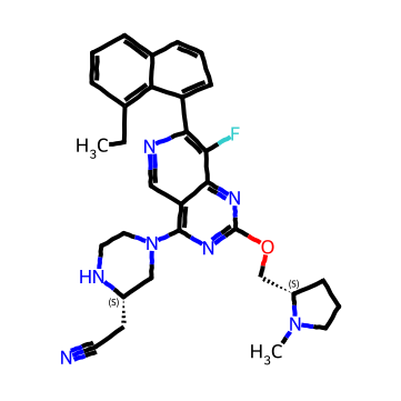 CCc1cccc2cccc(-c3ncc4c(N5CCN[C@@H](CC#N)C5)nc(OC[C@@H]5CCCN5C)nc4c3F)c12